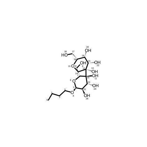 CCCCO[C@H]1O[C@H](CO)[C@](O)([C@@]2(O)CO[C@H](CO)[C@H](O)[C@@H]2O)[C@H](O)[C@H]1O